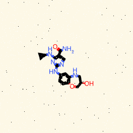 NC(=O)c1cnc(Nc2ccc3c(c2)NC[C@@H](O)CO3)nc1NC1CC1